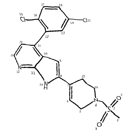 CS(=O)(=O)N1CC=C(c2cc3c(-c4cc(Cl)ccc4Cl)ccnc3[nH]2)CC1